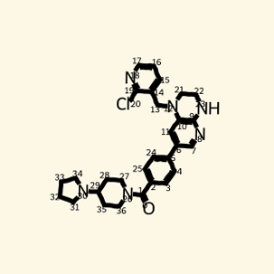 O=C(c1ccc(-c2cnc3c(c2)N(Cc2cccnc2Cl)CCN3)cc1)N1CCC(N2CCCC2)CC1